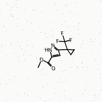 COC(=O)c1cc(C2(C(F)(F)F)CC2)n[nH]1